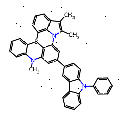 Cc1c(C)n2c3c(cccc13)B1c3ccccc3N(C)c3cc(-c4ccc5c(c4)c4ccccc4n5-c4ccccc4)cc-2c31